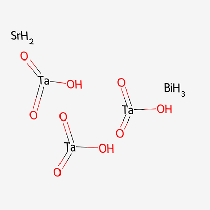 [BiH3].[O]=[Ta](=[O])[OH].[O]=[Ta](=[O])[OH].[O]=[Ta](=[O])[OH].[SrH2]